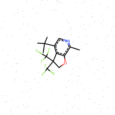 Cc1ncc(C(C)(C)C)c2c1OCC2(C(F)(F)F)C(F)(F)F